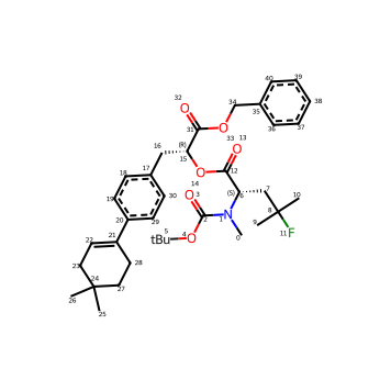 CN(C(=O)OC(C)(C)C)[C@@H](CC(C)(C)F)C(=O)O[C@H](Cc1ccc(C2=CCC(C)(C)CC2)cc1)C(=O)OCc1ccccc1